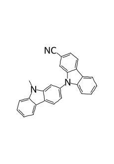 Cn1c2ccccc2c2ccc(-n3c4ccccc4c4ccc(C#N)cc43)cc21